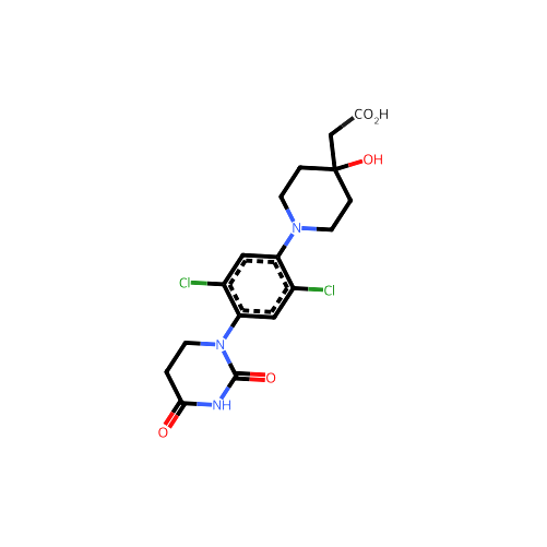 O=C(O)CC1(O)CCN(c2cc(Cl)c(N3CCC(=O)NC3=O)cc2Cl)CC1